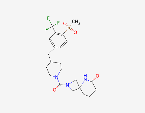 CS(=O)(=O)c1ccc(CC2CCN(C(=O)N3CC4(CCCC(=O)N4)C3)CC2)cc1C(F)(F)F